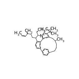 C=CC1C(CCC(=C)/C=C\C)c2ccc3cc2-c2cc(c([Si](C)(C)C)c[n+]21)CC(C)CCCc1ccc-3cc1